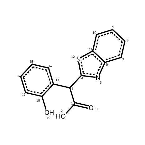 O=C(O)C(c1nc2ccccc2s1)c1ccccc1O